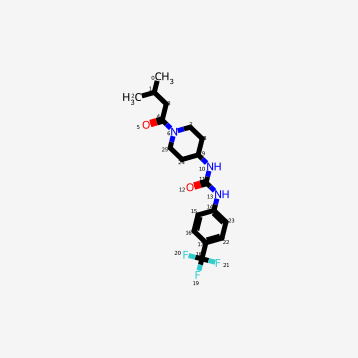 CC(C)CC(=O)N1CCC(NC(=O)Nc2ccc(C(F)(F)F)cc2)CC1